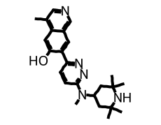 Cc1cncc2cc(-c3ccc(N(C)C4CC(C)(C)NC(C)(C)C4)nn3)c(O)cc12